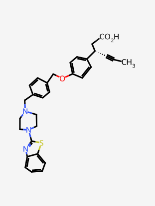 CC#C[C@@H](CC(=O)O)c1ccc(OCc2ccc(CN3CCN(c4nc5ccccc5s4)CC3)cc2)cc1